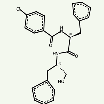 O=C(N[C@@H](Cc1ccccc1)C(=O)N[C@H](CO)Cc1ccccc1)c1ccc(Cl)cc1